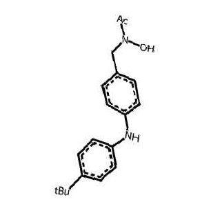 CC(=O)N(O)Cc1ccc(Nc2ccc(C(C)(C)C)cc2)cc1